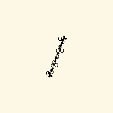 C=C(C)C(=O)OCCOC(=O)OCCOCCOC(=O)OCCOC(=O)C(=C)C